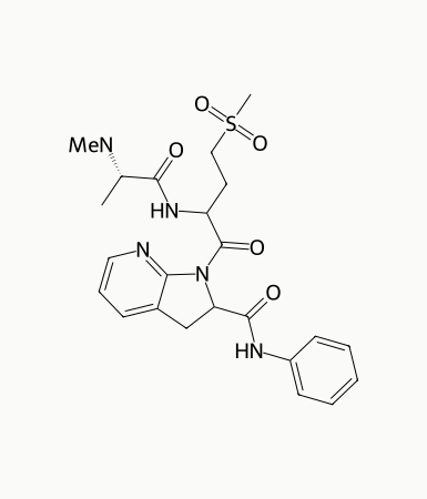 CN[C@@H](C)C(=O)NC(CCS(C)(=O)=O)C(=O)N1c2ncccc2CC1C(=O)Nc1ccccc1